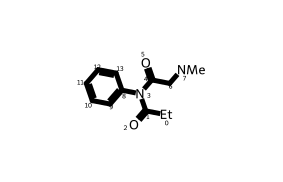 CCC(=O)N(C(=O)CNC)c1ccccc1